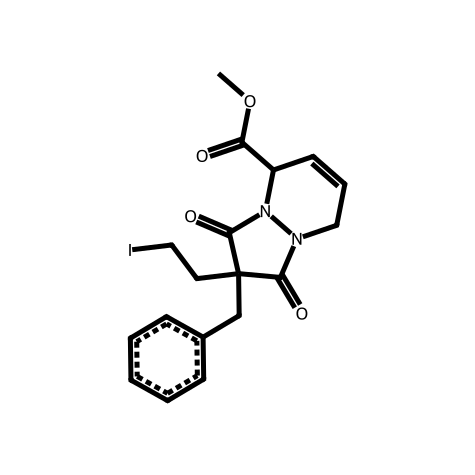 COC(=O)C1C=CCN2C(=O)C(CCI)(Cc3ccccc3)C(=O)N12